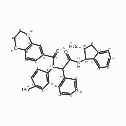 CC(C)(C)c1ccc(N(C(=O)c2ccc3c(c2)OCCO3)C(C(=O)N[C@@H]2c3ccccc3C[C@H]2O)c2cccnc2)cc1